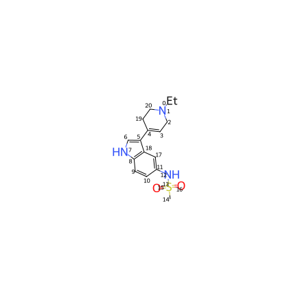 CCN1CC=C(c2c[nH]c3ccc(NS(C)(=O)=O)cc23)CC1